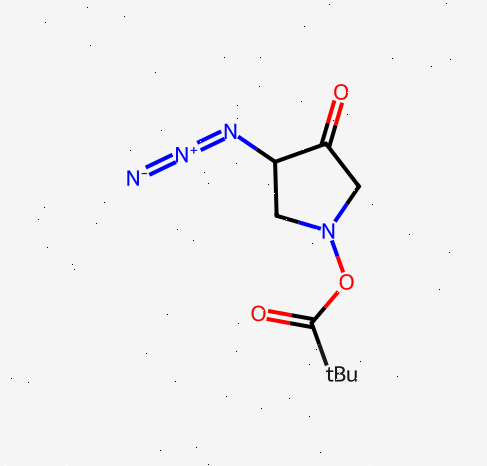 CC(C)(C)C(=O)ON1CC(=O)C(N=[N+]=[N-])C1